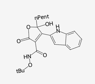 CCCCCC1(O)OC(=O)C(C(=O)NOC(C)(C)C)=C1c1cc2ccccc2[nH]1